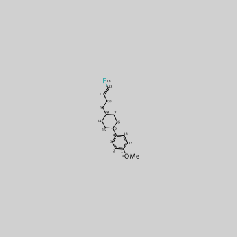 COc1ccc(C2CCC(CCC=CF)CC2)cc1